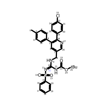 Cc1ccc(-c2cc(CN/C(=N/S(=O)(=O)c3ccccc3)NC(=O)OC(C)(C)C)cnc2-c2ccc(Cl)cc2)cc1